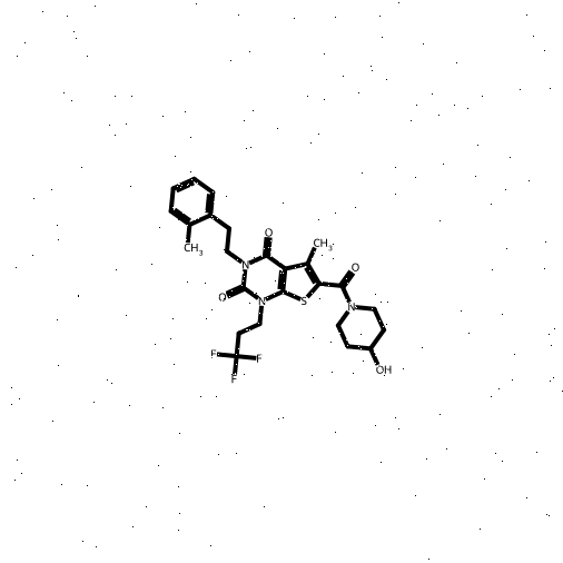 Cc1ccccc1CCn1c(=O)c2c(C)c(C(=O)N3CCC(O)CC3)sc2n(CCC(F)(F)F)c1=O